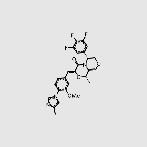 COc1cc(C=C2O[C@@H](C)C3=COC[C@@H](c4cc(F)c(F)c(F)c4)N3C2=O)ccc1-n1cnc(C)c1